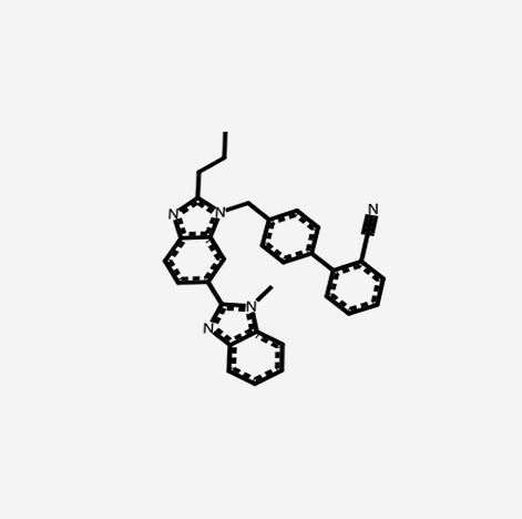 CCCc1nc2ccc(-c3nc4ccccc4n3C)cc2n1Cc1ccc(-c2ccccc2C#N)cc1